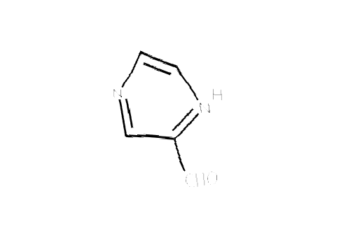 O=Cc1cnccn1.[H+]